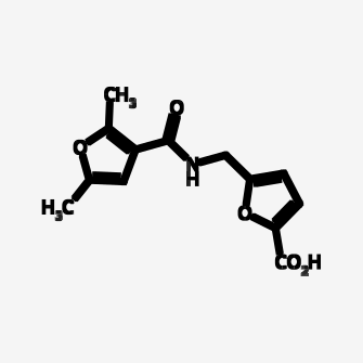 Cc1cc(C(=O)NCc2ccc(C(=O)O)o2)c(C)o1